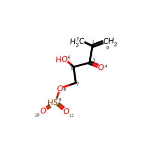 C=C(C)C(=O)C(O)CO[SH](=O)=O